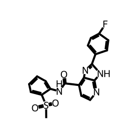 CS(=O)(=O)c1ccccc1NC(=O)c1ccnc2[nH]c(-c3ccc(F)cc3)nc12